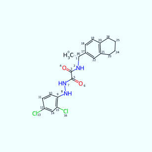 C[C@@H](NC(=O)C(=O)NNc1ccc(Cl)cc1Cl)c1ccc2c(c1)CCCC2